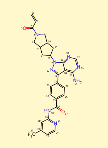 C=CC(=O)N1CC2CC(n3nc(-c4ccc(C(=O)Nc5cc(C(F)(F)F)ccn5)cc4)c4c(N)ncnc43)CC2C1